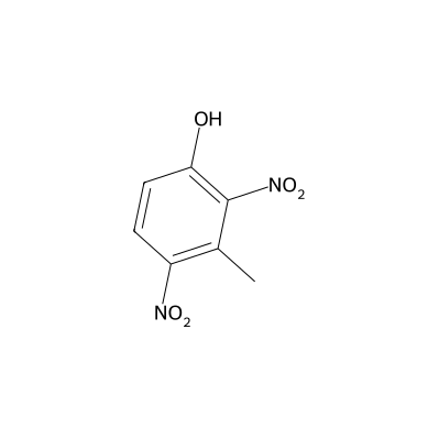 Cc1c([N+](=O)[O-])ccc(O)c1[N+](=O)[O-]